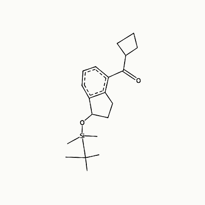 CC(C)(C)[Si](C)(C)OC1CCc2c(C(=O)C3CCC3)cccc21